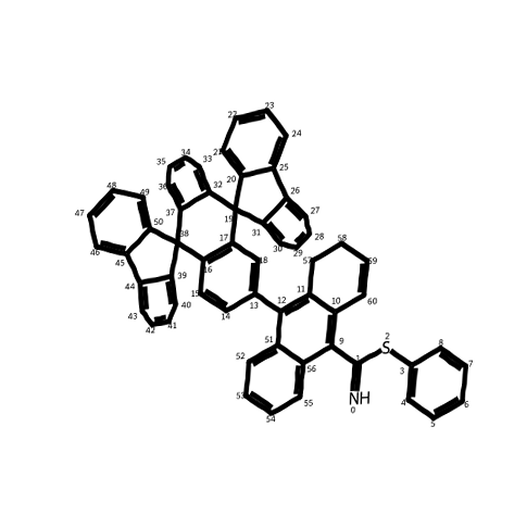 N=C(Sc1ccccc1)c1c2c(c(-c3ccc4c(c3)C3(c5ccccc5-c5ccccc53)c3ccccc3C43c4ccccc4-c4ccccc43)c3ccccc13)CCC=C2